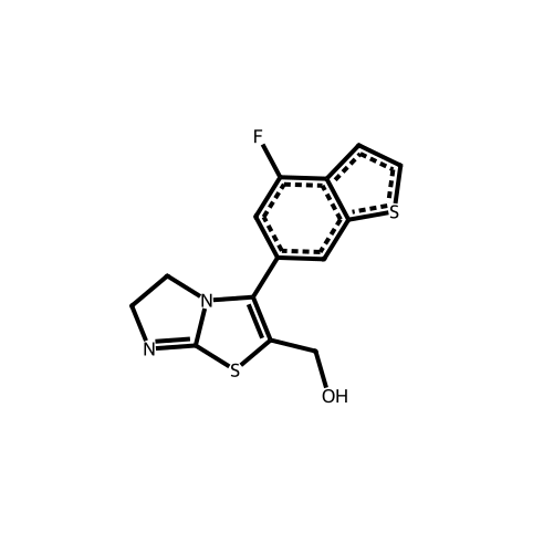 OCC1=C(c2cc(F)c3ccsc3c2)N2CCN=C2S1